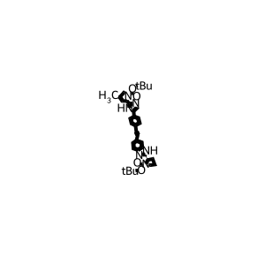 CC1=CC(c2ncc(-c3ccc(C#Cc4ccc5nc([C@@H]6CCCN6C(=O)OC(C)(C)C)[nH]c5c4)cc3)[nH]2)N(C(=O)OC(C)(C)C)C1